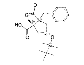 CC(C)(C)[Si](C)(C)O[C@@H]1C[C@](C)(C(=O)O)[N+](Cc2ccccc2)(C(=O)[O-])C1